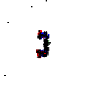 COC(=O)NC(C(=O)N1CCC[C@H]1c1ncc(-c2ccc3c(c2)C(F)(F)c2cc(-c4ccc5nc([C@@H]6[C@H]7CC[C@H](C7)N6C(=O)[C@@H](NC(=O)OC)C6CCOCC6)[nH]c5c4)ccc2-3)[nH]1)c1ccccc1